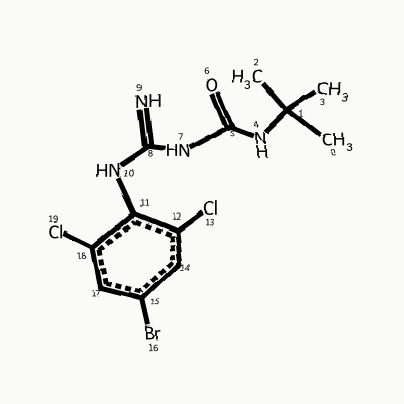 CC(C)(C)NC(=O)NC(=N)Nc1c(Cl)cc(Br)cc1Cl